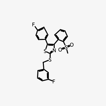 CS(=O)(=O)c1ccccc1-c1nc(SCc2cccc(F)c2)sc1-c1ccc(F)cc1